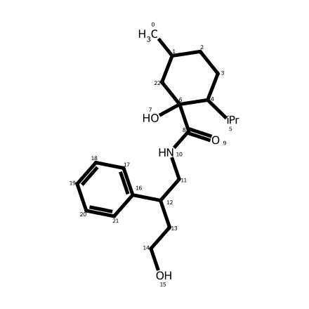 CC1CCC(C(C)C)C(O)(C(=O)NCC(CCO)c2ccccc2)C1